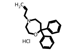 C=CCN1CCOC(c2ccccc2)(c2ccccc2)CC1.Cl